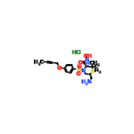 CC#CCOc1ccc(S(=O)(=O)N2C[C@H](CN)SC(C)(C)[C@@H]2C(=O)NO)cc1.Cl